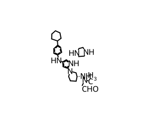 C1CNCCN1.CN(CC=O)N[C@@H]1CCCN(c2cc(Nc3ccc(C4CCCCC4)cc3)c[nH]2)C1